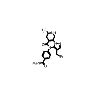 CNC(=O)c1ccc(-n2c(=O)c3c(n4ncc(CC(C)C)c24)CNC(C)C3)cc1